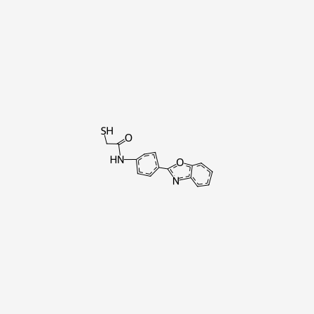 O=C(CS)Nc1ccc(-c2nc3ccccc3o2)cc1